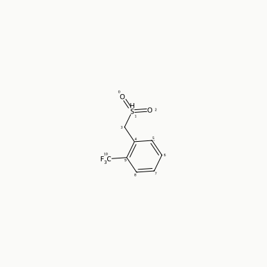 O=[SH](=O)Cc1[c]cccc1C(F)(F)F